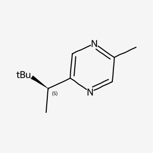 Cc1cnc([C@@H](C)C(C)(C)C)cn1